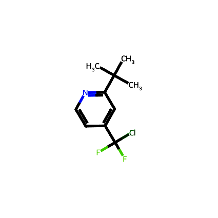 CC(C)(C)c1cc(C(F)(F)Cl)ccn1